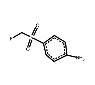 Nc1ccc(S(=O)(=O)CF)cc1